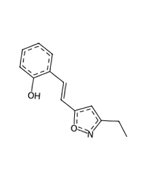 CCc1cc(C=Cc2ccccc2O)on1